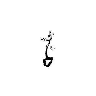 C[N+](C)(C)CC(O)COCCc1ccccc1.[Br-]